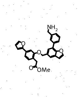 COC(=O)Cc1ccc(-c2ccco2)cc1OCc1cc(-c2cccc(CN)c2)c2occc2c1